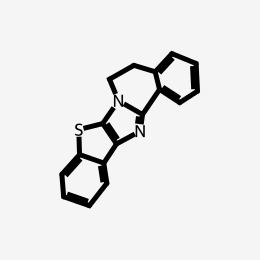 c1ccc2c(c1)CCn1c-2nc2c3ccccc3sc21